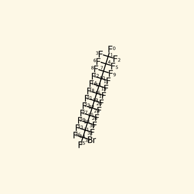 FC(F)(F)C(F)(F)C(F)(F)C(F)(F)C(F)(F)C(F)(F)C(F)(F)C(F)(F)C(F)(F)C(F)(F)C(F)(F)C(F)(F)Br